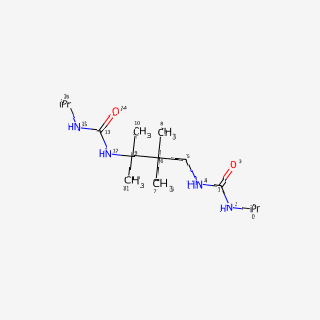 CC(C)NC(=O)NCC(C)(C)C(C)(C)NC(=O)NC(C)C